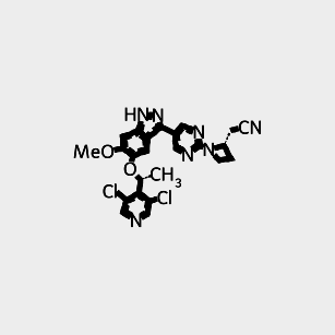 COc1cc2[nH]nc(-c3cnc(N4CC[C@H]4CC#N)nc3)c2cc1O[C@H](C)c1c(Cl)cncc1Cl